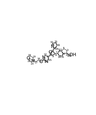 ON=C1CCc2cc(-c3cc(-c4cnc(OCCN5CCOCC5)nc4)oc3-c3ccccn3)ccc21